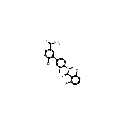 Cc1cc(-c2cc(C(N)=O)ccc2Cl)ccc1N(C)C(=O)c1c(F)cccc1Cl